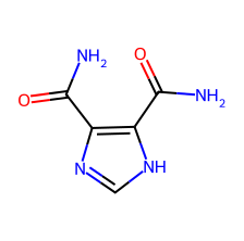 NC(=O)c1nc[nH]c1C(N)=O